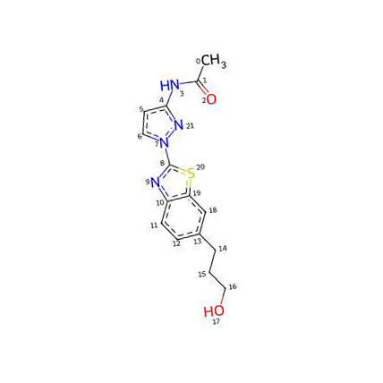 CC(=O)Nc1ccn(-c2nc3ccc(CCCO)cc3s2)n1